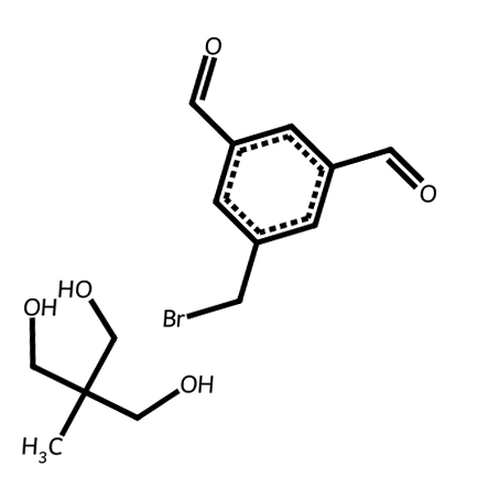 CC(CO)(CO)CO.O=Cc1cc(C=O)cc(CBr)c1